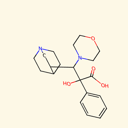 O=C(O)C(O)(c1ccccc1)C(C1CN2CCC1CC2)N1CCOCC1